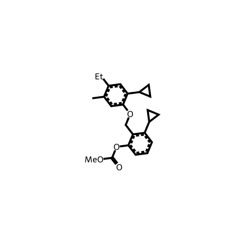 CCc1cc(C2CC2)c(OCc2c(OC(=O)OC)cccc2C2CC2)cc1C